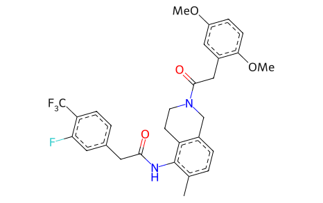 COc1ccc(OC)c(CC(=O)N2CCc3c(ccc(C)c3NC(=O)Cc3ccc(C(F)(F)F)c(F)c3)C2)c1